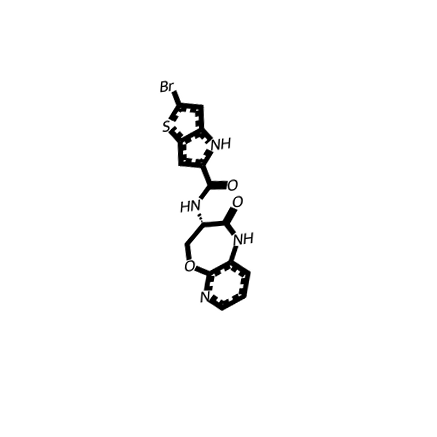 O=C(N[C@H]1COc2ncccc2NC1=O)c1cc2sc(Br)cc2[nH]1